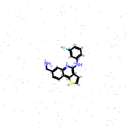 NCc1ccc2c(c1)nc(Nc1cccc(F)c1)c1ccsc12